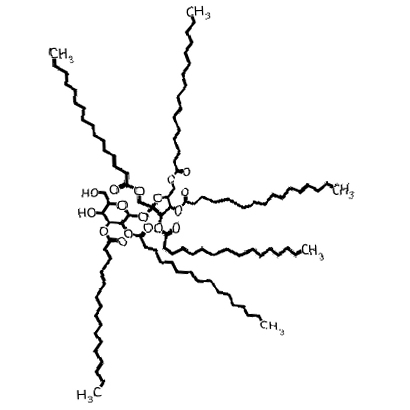 CCCCCCCCCCCCCCCC(=O)OCC1OC(COC(=O)CCCCCCCCCCCCCCC)(OC2OC(CO)C(O)C(OC(=O)CCCCCCCCCCCCCCC)C2OC(=O)CCCCCCCCCCCCCCC)C(OC(=O)CCCCCCCCCCCCCCC)C1OC(=O)CCCCCCCCCCCCCCC